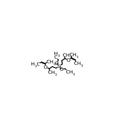 C/C=C(/C)OC(C)CC[Si](CCC(C)O/C(C)=C\C)(OCC)OCC